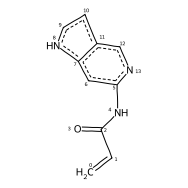 C=CC(=O)Nc1cc2[nH]ccc2cn1